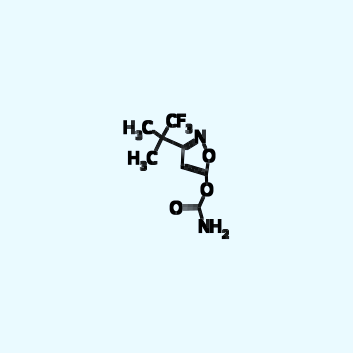 CC(C)(c1cc(OC(N)=O)on1)C(F)(F)F